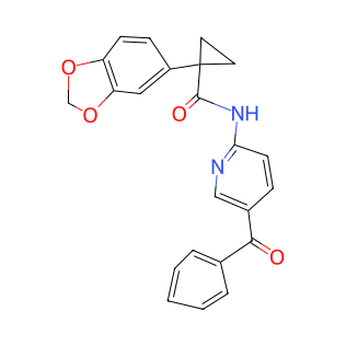 O=C(c1ccccc1)c1ccc(NC(=O)C2(c3ccc4c(c3)OCO4)CC2)nc1